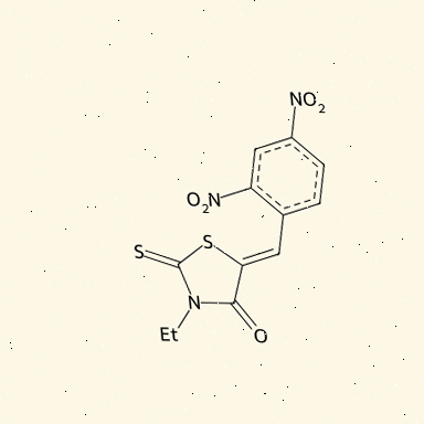 CCN1C(=O)C(=Cc2ccc([N+](=O)[O-])cc2[N+](=O)[O-])SC1=S